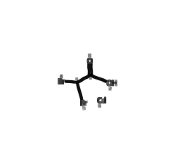 O=C(O)C(Br)Br.[Cd]